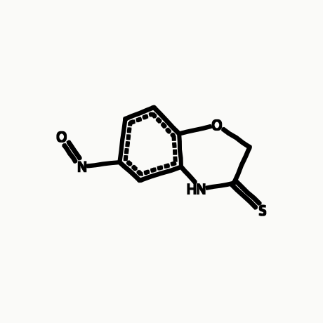 O=Nc1ccc2c(c1)NC(=S)CO2